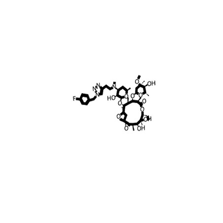 CC[C@H]1OC(=O)[C@H](C)[C@@H](O[C@H]2C[C@@](C)(OC)[C@@H](O)[C@H](C)O2)[C@H](C)[C@@H](O[C@@H]2O[C@H](C)C[C@H](N(C)CCc3cn(Cc4ccc(F)cc4)nn3)[C@H]2O)[C@@]2(C)C[C@@H](CO2)C(=O)[C@H](C)[C@@H](O)[C@]1(C)O